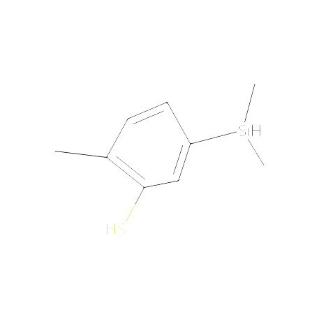 Cc1ccc([SiH](C)C)cc1S